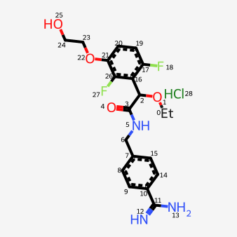 CCOC(C(=O)NCc1ccc(C(=N)N)cc1)c1c(F)ccc(OCCO)c1F.Cl